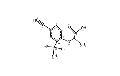 C#Cc1ccc(OC(C)C(=O)O)c(C(C)(F)F)c1